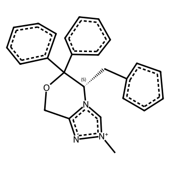 C[n+]1cn2c(n1)COC(c1ccccc1)(c1ccccc1)[C@@H]2Cc1ccccc1